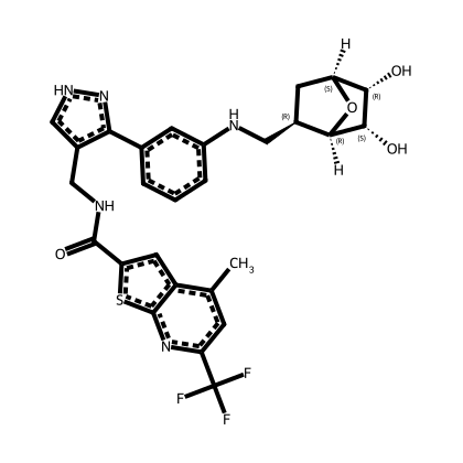 Cc1cc(C(F)(F)F)nc2sc(C(=O)NCc3c[nH]nc3-c3cccc(NC[C@H]4C[C@@H]5O[C@H]4[C@@H](O)[C@H]5O)c3)cc12